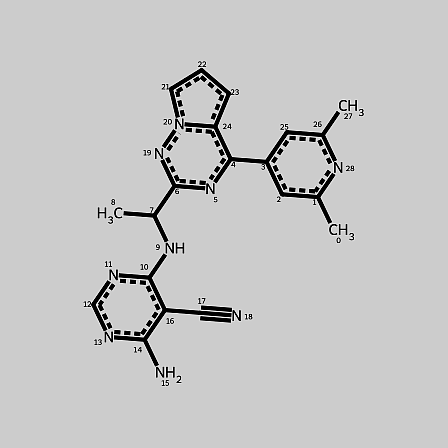 Cc1cc(-c2nc(C(C)Nc3ncnc(N)c3C#N)nn3cccc23)cc(C)n1